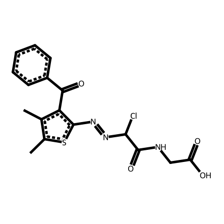 Cc1sc(N=NC(Cl)C(=O)NCC(=O)O)c(C(=O)c2ccccc2)c1C